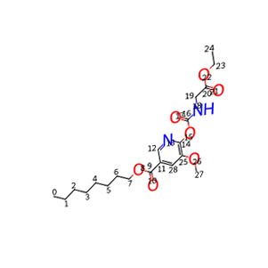 CCCCCCCCOC(=O)c1cnc(OC(=O)NCC(=O)OCC)c(OC)c1